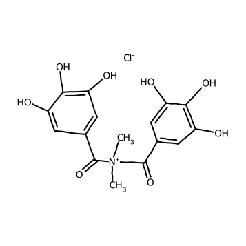 C[N+](C)(C(=O)c1cc(O)c(O)c(O)c1)C(=O)c1cc(O)c(O)c(O)c1.[Cl-]